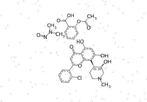 CC(=O)Oc1ccccc1C(=O)O.CN(C)N=O.CN1CC[C@@H](c2c(O)cc(O)c3c(=O)cc(-c4ccccc4Cl)oc23)[C@@H](O)C1